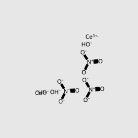 O=[N+]([O-])[O-].O=[N+]([O-])[O-].O=[N+]([O-])[O-].[Ce+3].[Ce+3].[OH-].[OH-].[OH-]